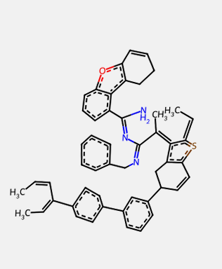 C/C=C\C(=C/C)c1ccc(-c2cccc(C3C=Cc4sc(=C/C)/c(=C(C)/C(=N/Cc5ccccc5)/N=C(\N)c5cccc6oc7c(c56)CCC=C7)c4C3)c2)cc1